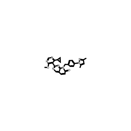 COc1ncnc(C2CC2)c1-c1ncc2ccc(=O)n(Cc3ccc(-n4nc(C)cc4C)cc3)c2n1